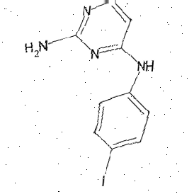 Nc1nccc(Nc2ccc(I)cc2)n1